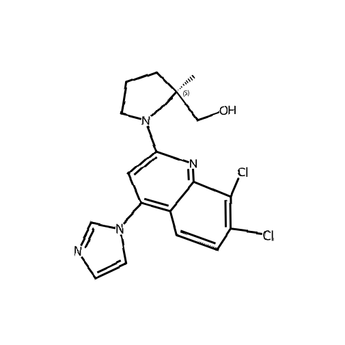 C[C@@]1(CO)CCCN1c1cc(-n2ccnc2)c2ccc(Cl)c(Cl)c2n1